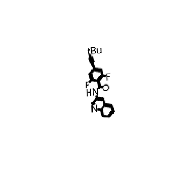 CC(C)(C)C#Cc1cc(F)c(C(=O)Nc2cnc3ccccc3c2)c(F)c1